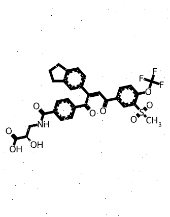 CS(=O)(=O)c1cc(C(=O)/C=C(\C(=O)c2ccc(C(=O)NC[C@@H](O)C(=O)O)cc2)c2ccc3c(c2)CCC3)ccc1OC(F)(F)F